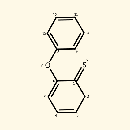 S=C1CC=CC=C1Oc1[c]cccc1